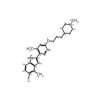 Cc1cc(OCCCC2CCN(C)CC2)ncc1-c1nc2c(C)c(F)ccc2[nH]1